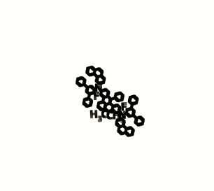 CC1(C)c2cc(N(c3ccc4ccc5ccccc5c4c3)c3cc(-c4ccccc4)cc(-c4ccccc4)c3F)ccc2-c2c(-c3ccccc3)c3ccc(N(c4ccc5ccc6ccccc6c5c4)c4cc(-c5ccccc5)cc(-c5ccccc5)c4F)cc3c3cccc1c23